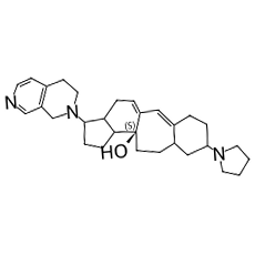 O[C@]12CCC3CC(N4CCCC4)CCC3=CC1=CCC1C(N3CCc4ccncc4C3)CCC12